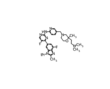 Cc1nc2c(F)cc(-c3nc(Nc4ccc(CN5CCOC(C)(CCN(C)C)C5)cn4)ncc3F)cc2n1C(C)C